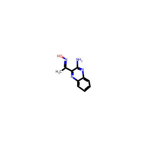 C/C(=N\O)c1nc2ccccc2nc1N